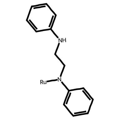 [Ru][N](CCNc1ccccc1)c1ccccc1